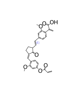 C=CC(=O)Oc1ccc(C=C2CCC(/C=C/c3ccc(C(=C)C(=O)O)c(OC)c3)C2=O)c(OC)c1